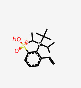 C=Cc1cccc(S(=O)(=O)O)c1[Si](C(C)C)(C(C)C)C(C)(C)C